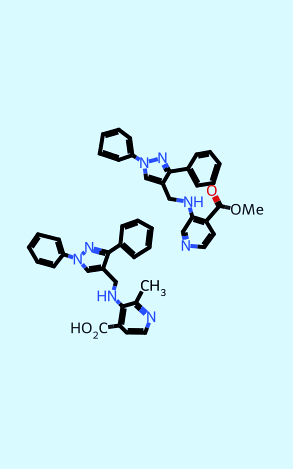 COC(=O)c1ccncc1NCc1cn(-c2ccccc2)nc1-c1ccccc1.Cc1nccc(C(=O)O)c1NCc1cn(-c2ccccc2)nc1-c1ccccc1